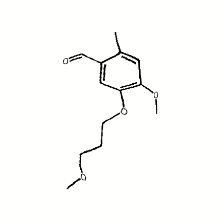 COCCCOc1cc(C=O)c(C)cc1OC